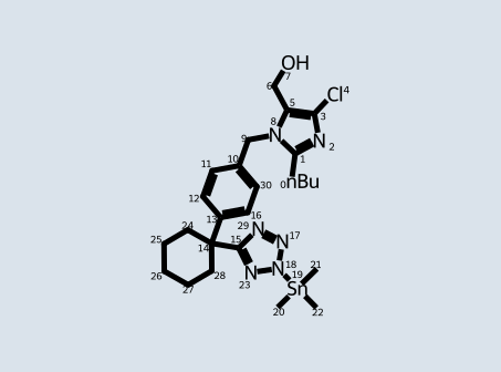 CCCCc1nc(Cl)c(CO)n1Cc1ccc(C2(c3nn[n]([Sn]([CH3])([CH3])[CH3])n3)CCCCC2)cc1